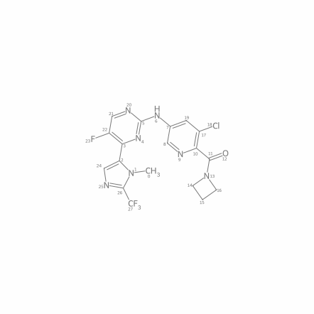 Cn1c(-c2nc(Nc3cnc(C(=O)N4CCC4)c(Cl)c3)ncc2F)cnc1C(F)(F)F